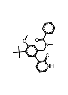 COc1cc(CN(C)C(=O)c2ccccc2)c(-c2ccc[nH]c2=O)cc1C(C)(C)C